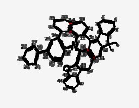 CC1(C)c2ccccc2-c2c(-c3ccccc3N(c3ccc(-c4ccccc4)cc3-c3ccccc3)c3cccc4c3oc3ccccc34)cccc21